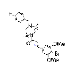 COc1cc(/C=C/C(=O)N2C[C@H](C)N(Cc3ccc(F)cc3)C[C@H]2C)cc(OC)c1Br